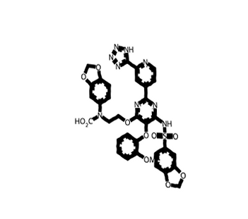 COc1ccccc1Oc1c(NS(=O)(=O)c2ccc3c(c2)OCO3)nc(-c2ccnc(-c3nnn[nH]3)c2)nc1OCCN(C(=O)O)c1ccc2c(c1)OCO2